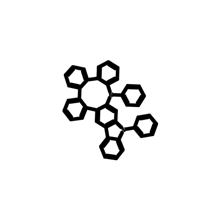 c1ccc(-n2c3ccccc3c3ccccc3c3ccccc3c3cc4c5ccccc5n(-c5ccccc5)c4cc32)cc1